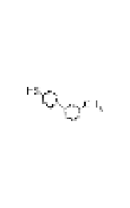 Cc1cccc(-c2ccc(S)cc2)c1